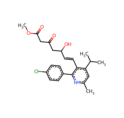 COC(=O)CC(=O)CC(O)/C=C/c1c(C(C)C)cc(C)nc1-c1ccc(Cl)cc1